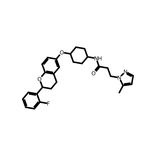 Cc1ccnn1CCC(=O)NC1CCC(Oc2ccc3c(c2)CCC(c2ccccc2F)O3)CC1